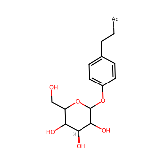 CC(=O)CCc1ccc(OC2OC(CO)C(O)[C@H](O)C2O)cc1